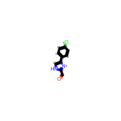 O=Cc1nc(-c2ccc(Cl)cc2)c[nH]1